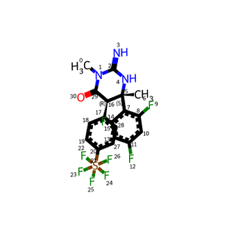 CN1C(=N)N[C@](C)(c2c(F)cc(F)cc2F)[C@@H](c2ccc(S(F)(F)(F)(F)F)cc2)C1=O